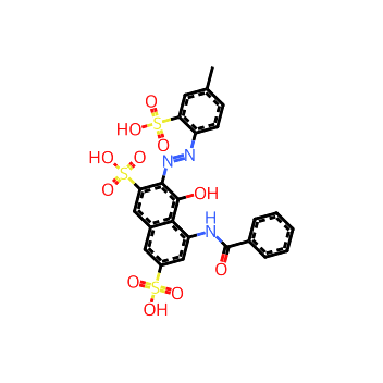 Cc1ccc(N=Nc2c(S(=O)(=O)O)cc3cc(S(=O)(=O)O)cc(NC(=O)c4ccccc4)c3c2O)c(S(=O)(=O)O)c1